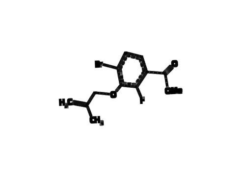 C=C(C)COc1c(Br)ccc(C(=O)OC)c1F